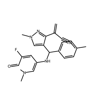 C=C(C#N)c1nn(C)cc1C(NC(/C=C(/F)C=O)=C/N(C)C)c1ccc(C)cc1